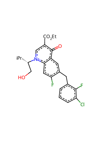 CCOC(=O)c1cn([C@H](CO)C(C)C)c2cc(F)c(Cc3cccc(Cl)c3F)cc2c1=O